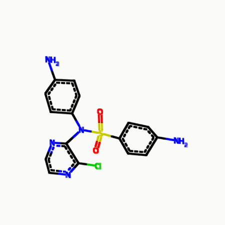 Nc1ccc(N(c2nccnc2Cl)S(=O)(=O)c2ccc(N)cc2)cc1